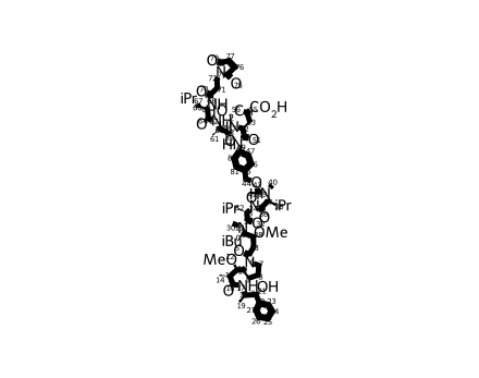 CC[C@H](C)[C@@H]([C@@H](CC(=O)N1CCC[C@H]1[C@H](OC)[C@@H](C)C(=O)N[C@H](C)[C@@H](O)c1ccccc1)OC)N(C)C(=O)[C@@H](NC(=O)[C@H](C(C)C)N(C)C(=O)OCc1ccc(NC(=O)[C@H](CC(C(=O)O)C(=O)O)NC(=O)[C@H](C)NC(=O)[C@@H](CC(C)C)NC(=O)CCN2C(=O)C=CC2=O)cc1)C(C)C